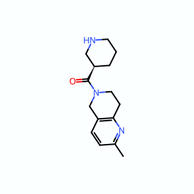 Cc1ccc2c(n1)CCN(C(=O)[C@@H]1CCCNC1)C2